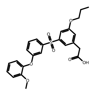 CCCOc1cc(CC(=O)O)cc(S(=O)(=O)c2cccc(Oc3ccccc3OC)c2)c1